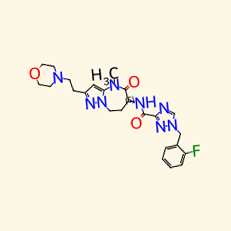 CN1C(=O)[C@@H](NC(=O)c2ncn(Cc3ccccc3F)n2)CCn2nc(CCN3CCOCC3)cc21